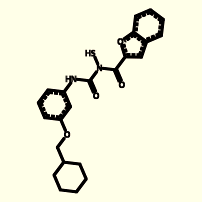 O=C(Nc1cccc(OCC2CCCCC2)c1)N(S)C(=O)c1cc2ccccc2o1